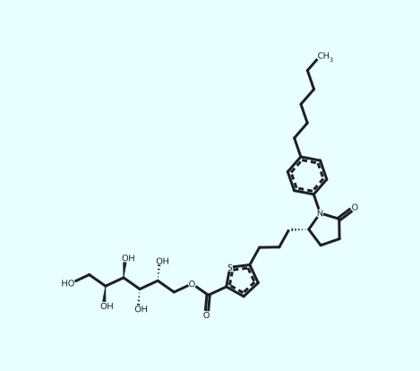 CCCCCCc1ccc(N2C(=O)CC[C@@H]2CCCc2ccc(C(=O)OC[C@@H](O)[C@H](O)[C@H](O)[C@@H](O)CO)s2)cc1